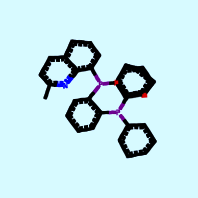 Cc1ccc2cccc(P(c3ccccc3)c3ccccc3P(c3ccccc3)c3ccccc3)c2n1